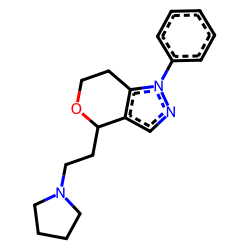 c1ccc(-n2ncc3c2CCOC3CCN2CCCC2)cc1